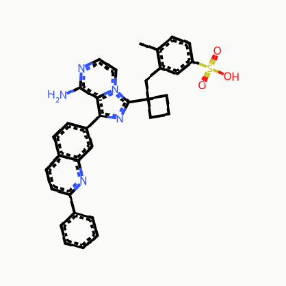 Cc1ccc(S(=O)(=O)O)cc1CC1(c2nc(-c3ccc4ccc(-c5ccccc5)nc4c3)c3c(N)nccn23)CCC1